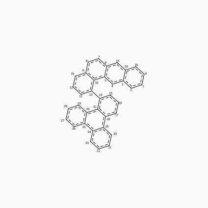 c1ccc2cc3c(ccc4cccc(-c5cccc6c7ccccc7c7ccccc7c56)c43)cc2c1